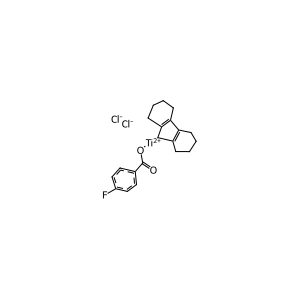 O=C([O][Ti+2][CH]1C2=C(CCCC2)C2=C1CCCC2)c1ccc(F)cc1.[Cl-].[Cl-]